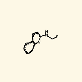 F[C]Nc1ccc2ccccc2n1